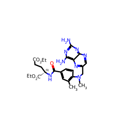 CCOC(=O)CC[C@H](NC(=O)c1ccc(N(C)Cc2cnc3nc(N)nc(N)c3n2)c(C)c1)C(=O)OCC